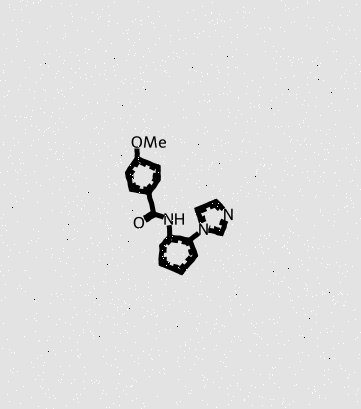 COc1ccc(C(=O)Nc2ccccc2-n2ccnc2)cc1